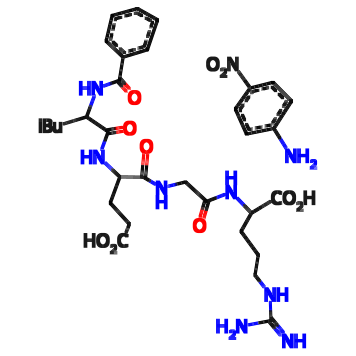 CCC(C)C(NC(=O)c1ccccc1)C(=O)NC(CCC(=O)O)C(=O)NCC(=O)NC(CCCNC(=N)N)C(=O)O.Nc1ccc([N+](=O)[O-])cc1